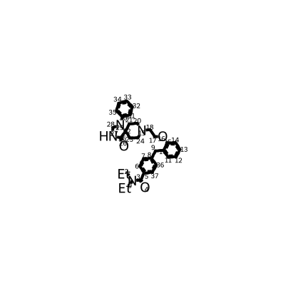 CCN(CC)C(=O)c1ccc(Cc2ccccc2OCCN2CCC3(CC2)C(=O)NCN3c2ccccc2)cc1